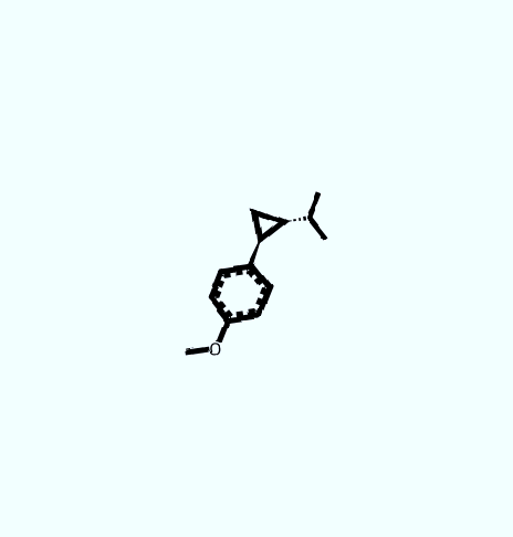 COc1ccc([C@H]2C[C@@H]2C(C)C)cc1